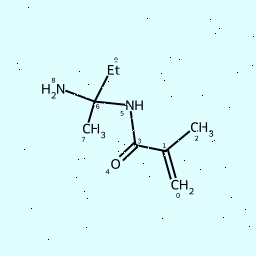 C=C(C)C(=O)NC(C)(N)CC